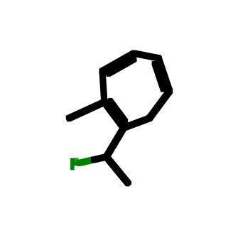 CC1=C(C(C)F)CC=CC=C1